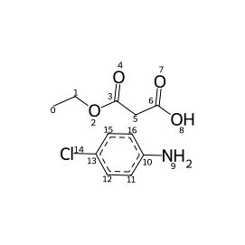 CCOC(=O)CC(=O)O.Nc1ccc(Cl)cc1